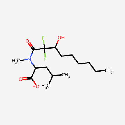 CCCCCCC(O)C(F)(F)C(=O)N(C)C(CC(C)C)C(=O)O